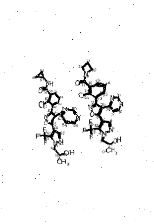 C[C@@H](O)Cn1ncc(-c2onc(-c3cccc(C(=O)N4CCC4)c3Cl)c2-c2ccncn2)c1C(F)(F)F.C[C@@H](O)Cn1ncc(-c2onc(-c3cccc(C(=O)NC4CC4)c3Cl)c2-c2ccncn2)c1C(F)(F)F